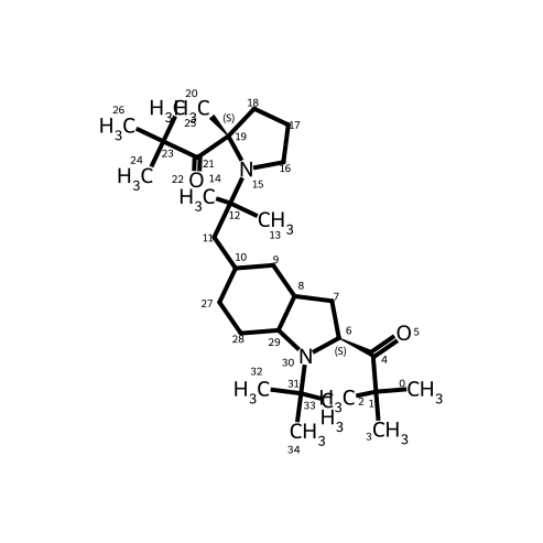 CC(C)(C)C(=O)[C@@H]1CC2CC(CC(C)(C)N3CCC[C@@]3(C)C(=O)C(C)(C)C)CCC2N1C(C)(C)C